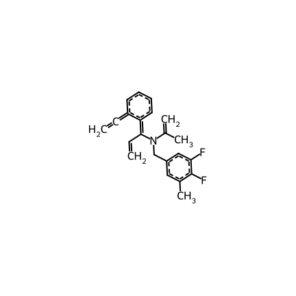 C=C=c1cccc/c1=C(/C=C)N(Cc1cc(C)c(F)c(F)c1)C(=C)C